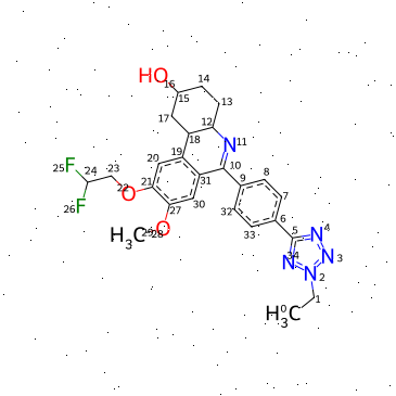 CCn1nnc(-c2ccc(C3=NC4CCC(O)CC4c4cc(OCC(F)F)c(OC)cc43)cc2)n1